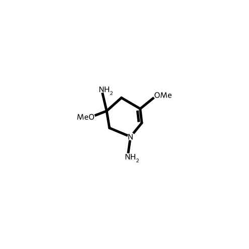 COC1=CN(N)CC(N)(OC)C1